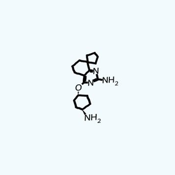 Nc1nc(O[C@H]2CC[C@H](N)CC2)c2c(n1)C1(CCCC1)CCC2